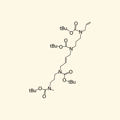 C=CCN(CCCN(CC=CCN(CCCN(C)C(=O)OC(C)(C)C)C(=O)OC(C)(C)C)C(=O)OC(C)(C)C)C(=O)OC(C)(C)C